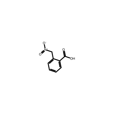 O=C(O)c1ccccc1C[N+](=O)[O-]